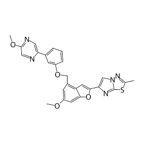 COc1cc(COc2cccc(-c3cnc(OC)cn3)c2)c2cc(-c3cn4nc(C)sc4n3)oc2c1